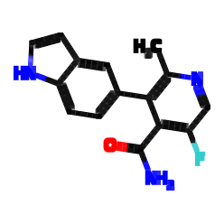 Cc1ncc(F)c(C(N)=O)c1-c1ccc2[nH]ccc2c1